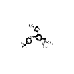 CON(C)C(=O)c1ccc(Nc2ccc(C(F)(F)F)cc2)c(-c2cn(C)cn2)c1